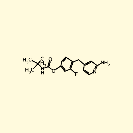 CC(C)(C)NC(=O)Oc1ccc(Cc2ccnc(N)c2)c(F)c1